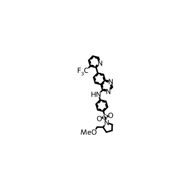 COCC1CCCN1S(=O)(=O)c1ccc(Nc2ncnc3cc(-c4ncccc4C(F)(F)F)ccc23)cc1